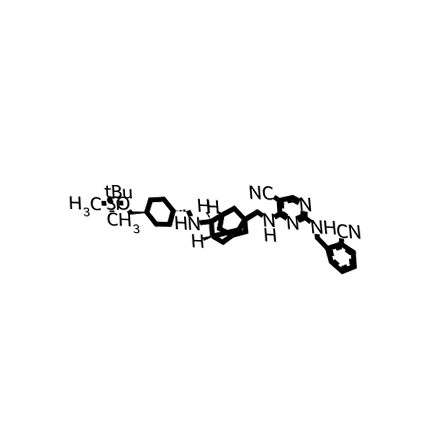 CC(C)(C)[Si](C)(C)OC[C@H]1CC[C@H](CN[C@H]2[C@@H]3CC4C[C@H]2CC(CNc2nc(NCc5ccccc5C#N)ncc2C#N)(C4)C3)CC1